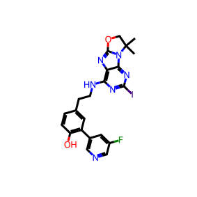 CC1(C)COc2nc3c(NCCc4ccc(O)c(-c5cncc(F)c5)c4)nc(I)nc3n21